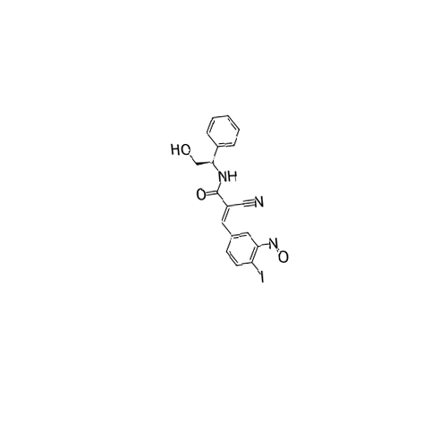 N#C/C(=C\c1ccc(I)c(N=O)c1)C(=O)N[C@@H](CO)c1ccccc1